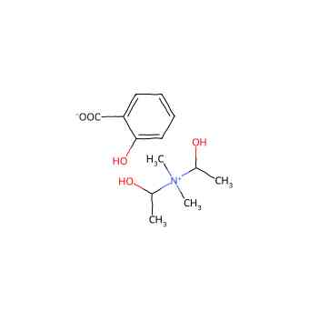 CC(O)[N+](C)(C)C(C)O.O=C([O-])c1ccccc1O